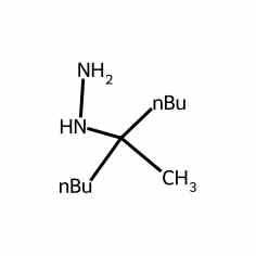 CCCCC(C)(CCCC)NN